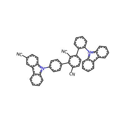 N#Cc1ccc2c(c1)c1ccccc1n2-c1ccc(-c2c(C#N)ccc(-c3ccccc3-n3c4ccccc4c4ccccc43)c2C#N)cc1